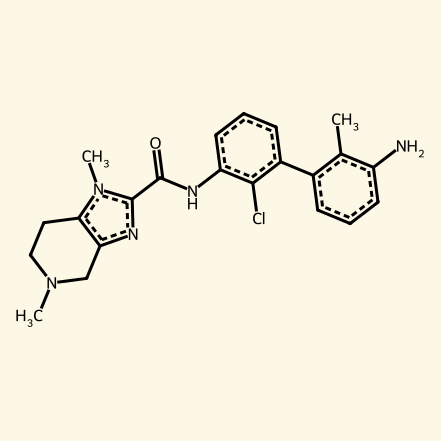 Cc1c(N)cccc1-c1cccc(NC(=O)c2nc3c(n2C)CCN(C)C3)c1Cl